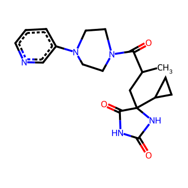 CC(CC1(C2CC2)NC(=O)NC1=O)C(=O)N1CCN(c2cccnc2)CC1